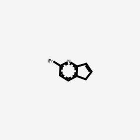 CC(C)c1ccc2c(n1)C=CC2